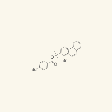 CCC(C)c1ccc(C(=O)OC(C)(C)c2ccc3c(ccc4ccccc43)c2Br)cc1